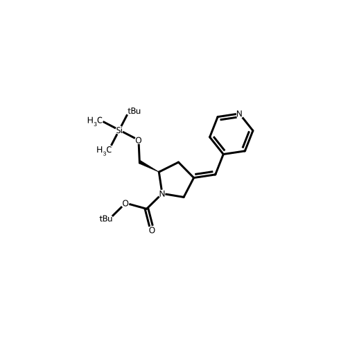 CC(C)(C)OC(=O)N1C/C(=C/c2ccncc2)C[C@@H]1CO[Si](C)(C)C(C)(C)C